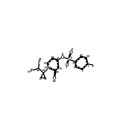 Cc1ccc(S(=O)(=O)Oc2ccn(C3(C(F)F)CC3)c(=O)c2)cc1